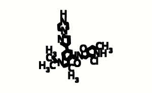 CCC(C)n1cc(C)c2c(C(=O)NCc3c(Cl)[nH]c(C)cc3=O)cc(-c3ccc(N4CCNCC4)nc3)cc21